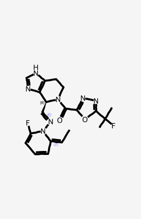 C/C=C1/C=CC=C(F)N1/N=C/[C@H]1c2nc[nH]c2CCN1C(=O)c1nnc(C(C)(C)F)o1